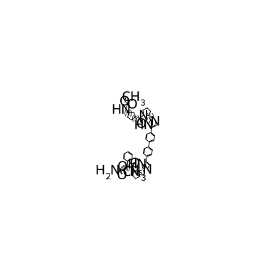 COC(=O)N[C@@H]1CC[C@H](C(=O)N2CCC[C@H]2c2ncc(-c3ccc(-c4ccc(-c5cnc([C@@H]6CCCN6C(=O)[C@](C)(OC(N)=O)c6ccccc6)[nH]5)cc4)cc3)[nH]2)C1